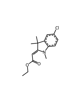 CCOC(=O)C=C1N(C)c2ccc(Cl)cc2C1(C)C